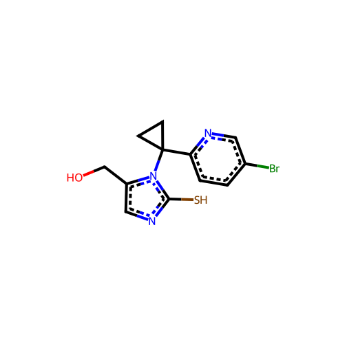 OCc1cnc(S)n1C1(c2ccc(Br)cn2)CC1